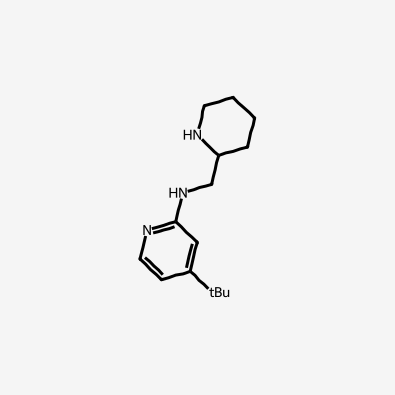 CC(C)(C)c1ccnc(NCC2CCCCN2)c1